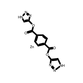 O=C(Oc1c[nH]nn1)c1ccc(C(=O)Oc2c[nH]nn2)cc1.[Zn]